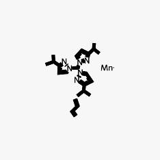 C=CC=C.CC(C)c1ccn(C(n2ccc(C(C)C)n2)n2ccc(C(C)C)n2)n1.[Mn]